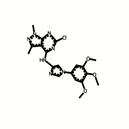 COc1cc(-n2cnc(Nc3nc(Cl)nc4c3c(C)nn4C)c2)cc(OC)c1OC